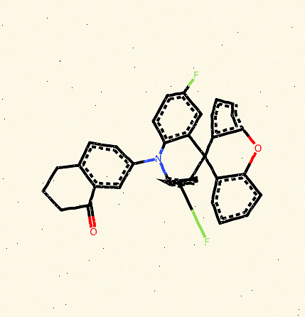 O=C1CCCc2ccc(N3c4ccc(F)cc4C4(c5ccccc5Oc5ccccc54)c4cc(F)ccc43)cc21